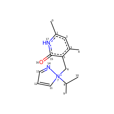 Cc1cc(C)c(C[N+]2(C(C)C)C=CC=N2)c(=O)[nH]1